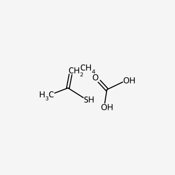 C.C=C(C)S.O=C(O)O